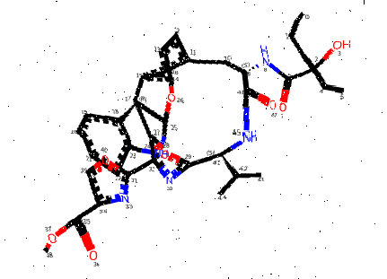 CCC(O)(CC)C(=O)N[C@H]1Cc2ccc3c(c2)[C@@]2(c4ccccc4NC2O3)c2oc(nc2-c2nc(C(=O)OC)co2)[C@H](C(C)C)NC1=O